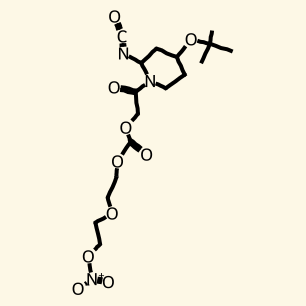 CC(C)(C)OC1CCN(C(=O)COC(=O)OCCOCCO[N+](=O)[O-])C(N=C=O)C1